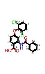 O=C(Nc1cc(Oc2c(Cl)cccc2Cl)ccc1C(=O)O)c1ccccc1